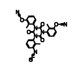 Cc1c(N=C=O)cccc1-n1c(=O)n(-c2cccc(OC#N)c2C)c(=O)n(-c2cccc(OC#N)c2C)c1=O